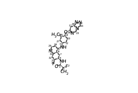 C=C(F)C(=O)Nc1cc2c(Nc3ccc(Oc4cc5nncn5cn4)c(C)c3)ccnc2cc1F